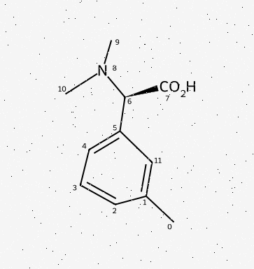 Cc1cccc([C@H](C(=O)O)N(C)C)c1